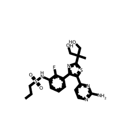 CCCS(=O)(=O)Nc1cccc(-c2nc(C(C)(CO)CO)sc2-c2ccnc(N)n2)c1F